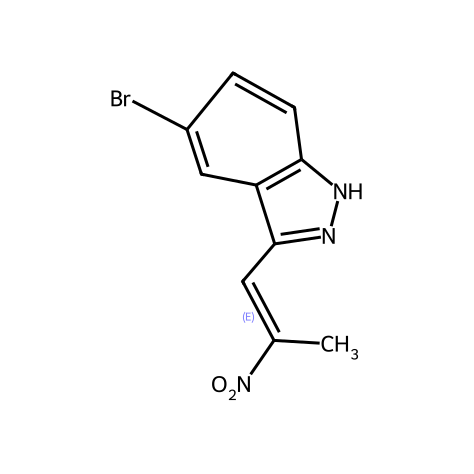 C/C(=C\c1n[nH]c2ccc(Br)cc12)[N+](=O)[O-]